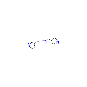 c1cncc(CCCNCc2ccncc2)c1